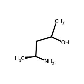 CC(O)C[C@H](C)N